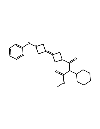 COC(=O)C(C(=O)N1CC(=C2CN(Sc3ccccn3)C2)C1)C1CCCCC1